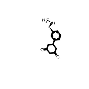 CBSc1cccc(C2CC(=O)CC(=O)C2)c1